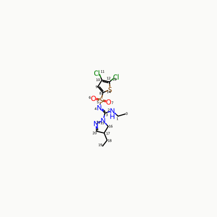 CCN/C(=N\S(=O)(=O)c1cc(Cl)c(Cl)s1)N1CC(CC)C=N1